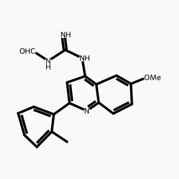 COc1ccc2nc(-c3ccccc3C)cc(NC(=N)NC=O)c2c1